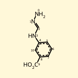 NN=CNc1cccc(C(=O)O)c1